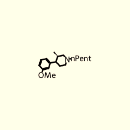 CCCCCN1CCC(c2cccc(OC)c2)[C@@H](C)C1